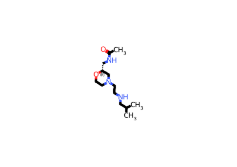 CC(=O)NC[C@@H]1CN(CCNCC(C)C)CCO1